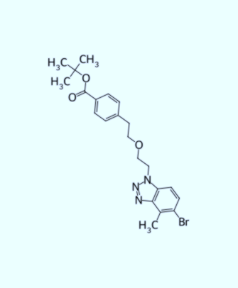 Cc1c(Br)ccc2c1nnn2CCOCCc1ccc(C(=O)OC(C)(C)C)cc1